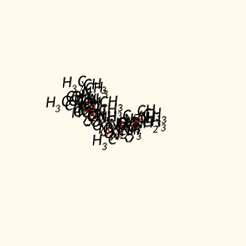 CCCN(CC(=O)N(C)[C@@H](CC(C)C)C(=O)N[C@@H](COC(C)(C)C)C(=O)N(C)[C@@H](Cc1ccccc1)C(=O)N(C)C(C(=O)N[C@@H](CC(=O)N[C@@H](C(=O)N(C)[C@@H](Cc1ccccc1)C(=O)N[C@@H](COCCN(C)C)C(=O)N(C)[C@@H](CC(C)C)C(N)=O)C(C)C)C(=O)N1CCCCC1)C(C)C)C(=O)C[C@@H](C)O